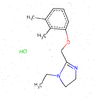 CCN1CCN=C1COc1cccc(C)c1C.Cl